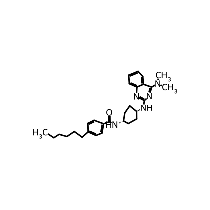 CCCCCCc1ccc(C(=O)N[C@H]2CC[C@@H](Nc3nc(N(C)C)c4ccccc4n3)CC2)cc1